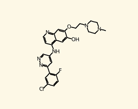 CN1CCN(CCOc2cc3nccc(Nc4cnnc(-c5cc(Cl)ccc5F)c4)c3cc2O)CC1